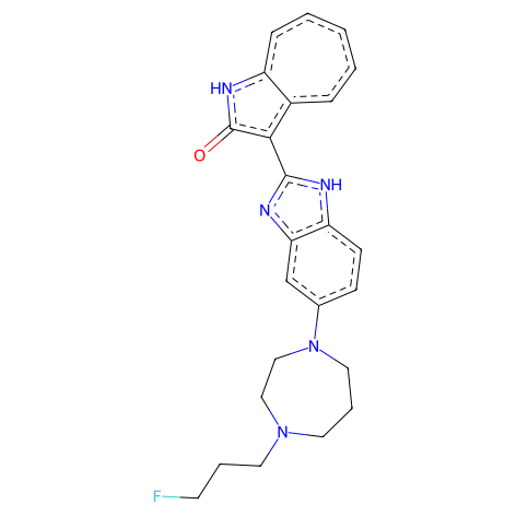 O=c1[nH]c2cccccc-2c1-c1nc2cc(N3CCCN(CCCF)CC3)ccc2[nH]1